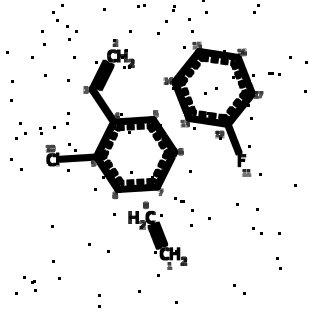 C=C.C=Cc1ccccc1Cl.Fc1ccccc1